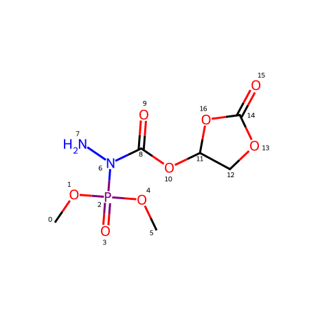 COP(=O)(OC)N(N)C(=O)OC1COC(=O)O1